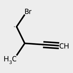 C#CC(C)[CH]Br